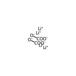 O=C([O-])[O-].O=C([O-])[O-].[Li+].[Li+].[Li+].[Li+]